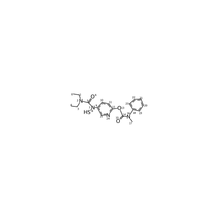 CCN(CC)C(=O)N(S)c1ccc(OC(=O)N(C)c2ccccc2)nc1